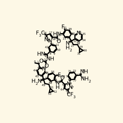 CC(OC(=O)NC(=N)c1cccc(-n2nc(C(F)(F)F)cc2C(=O)Nc2cc(C(N)(CCC3CC3)c3cccnc3)ccc2F)c1)c1ccc(C(N)(CCC2CC2)c2ccc(F)c(NC(=O)c3cc(C(F)(F)F)nn3-c3cccc(C(=N)N)c3)c2)cn1